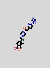 Cc1c(C(F)CN2CCN(C(=O)Cc3ccc(-n4cncn4)nc3)CC2)ccc2c1COC2=O